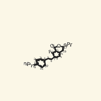 CCCc1ccc(CCc2ccc3c(c2F)C(=O)OC(CCC)C3)cc1